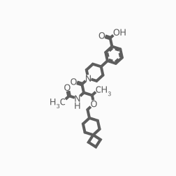 CC(=O)NC(C(=O)N1CCC(c2cccc(C(=O)O)c2)CC1)C(C)OCC1CCC2(CCC2)CC1